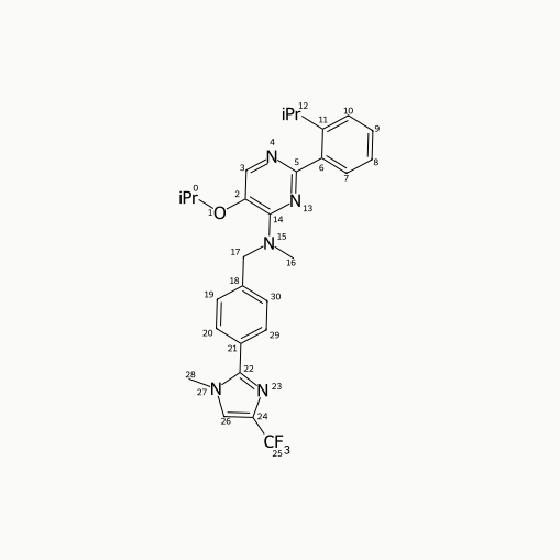 CC(C)Oc1cnc(-c2ccccc2C(C)C)nc1N(C)Cc1ccc(-c2nc(C(F)(F)F)cn2C)cc1